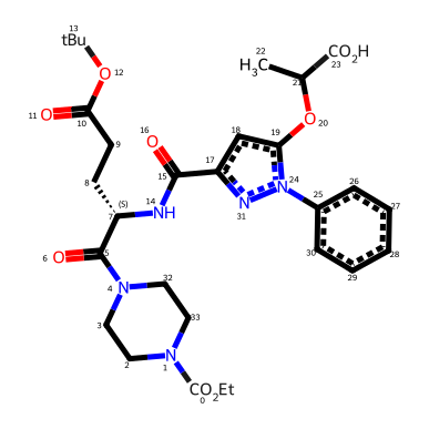 CCOC(=O)N1CCN(C(=O)[C@H](CCC(=O)OC(C)(C)C)NC(=O)c2cc(OC(C)C(=O)O)n(-c3ccccc3)n2)CC1